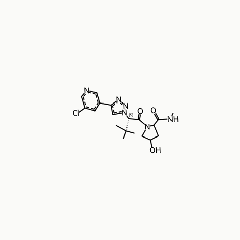 CNC(=O)C1CC(O)CN1C(=O)[C@@H](n1cc(-c2cncc(Cl)c2)nn1)C(C)(C)C